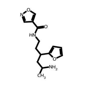 CC(N)CC(CCNC(=O)c1cnoc1)c1ccco1